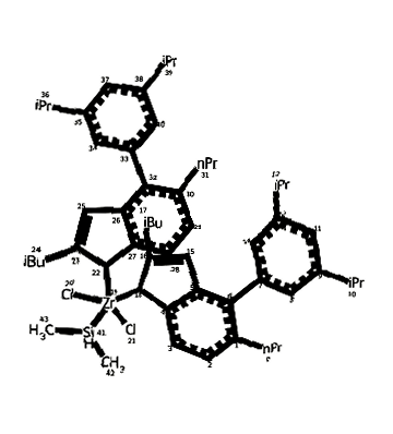 CCCc1ccc2c(c1-c1cc(C(C)C)cc(C(C)C)c1)C=C(C(C)CC)[CH]2[Zr]([Cl])([Cl])([CH]1C(C(C)CC)=Cc2c1ccc(CCC)c2-c1cc(C(C)C)cc(C(C)C)c1)[SiH](C)C